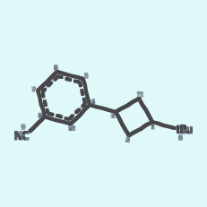 CC(C)(C)C1CC(c2cccc(C#N)c2)C1